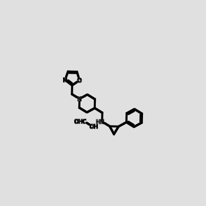 O=CO.c1ccc(C2CC2NCC2CCN(Cc3ncco3)CC2)cc1